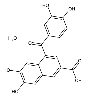 O.O=C(O)c1cc2cc(O)c(O)cc2c(C(=O)c2ccc(O)c(O)c2)n1